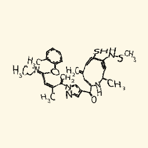 C=C1/C=C(/C(=O)c2cnn(C(=C)/C(C)=C\C(=N/CC)Oc3ccccc3C)c2)NC(C)/C=C(NSC)\C(S)=C/1